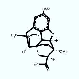 CCCC(=O)[C@H]1C[C@@]23C=C[C@@]1(OC)[C@@H]1Oc4cc(OC)cc5c4[C@@]12CCN(C)[C@@H]3C5